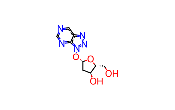 OC[C@H]1O[C@@H](On2nnc3cncnc32)C[C@@H]1O